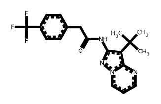 CC(C)(C)c1c(NC(=O)Cc2ccc(C(F)(F)F)cc2)nn2cccnc12